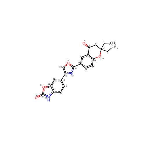 CCC1(CC)CC(=O)c2cc(-c3nc(-c4ccc5[nH]c(=O)oc5c4)co3)ccc2O1